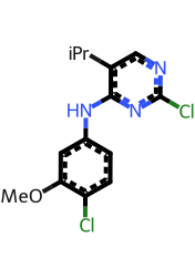 COc1cc(Nc2nc(Cl)ncc2C(C)C)ccc1Cl